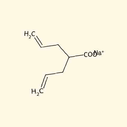 C=CCC(CC=C)C(=O)[O-].[Na+]